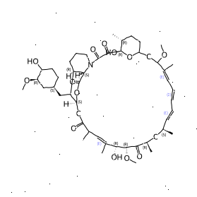 COC1CC2CC[C@@H](C)[C@@](O)(O2)C(=O)C(=O)N2CCC[C@@H]3C(C[C@@H]4CCC(O)[C@H](OC)C4)[C@H](CC(=O)C(C)/C=C(\C)[C@@H](O)[C@@H](OC)C(=O)[C@H](C)C[C@H](C)/C=C/C=C/C=C/1C)OC(=O)[C@H]32